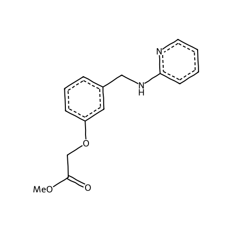 COC(=O)COc1cccc(CNc2ccccn2)c1